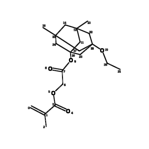 C=C(C)C(=O)OCC(=O)OC12CC3(C)CC(C)(CC(OCC)(C3)C1)C2